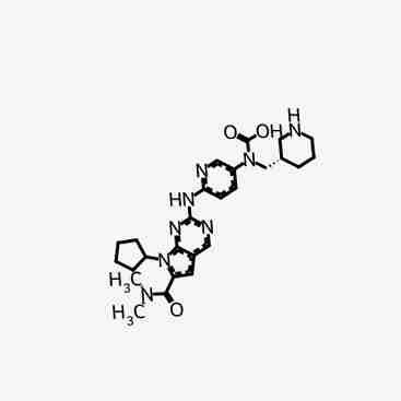 CN(C)C(=O)c1cc2cnc(Nc3ccc(N(C[C@H]4CCCNC4)C(=O)O)cn3)nc2n1C1CCCC1